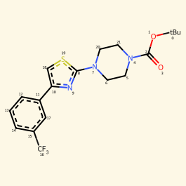 CC(C)(C)OC(=O)N1CCN(c2nc(-c3cccc(C(F)(F)F)c3)cs2)CC1